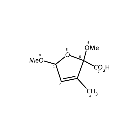 COC1C=C(C)C(OC)(C(=O)O)O1